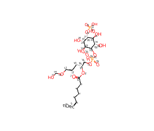 CCCCCCCCCCCCCCCC(=O)O[C@H](CCCOCO)COP(=O)(O)OC1C(O)[C@H](O)[C@H](OP(=O)(O)O)C(O)[C@@H]1O